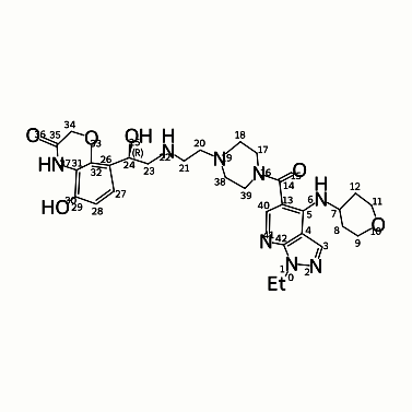 CCn1ncc2c(NC3CCOCC3)c(C(=O)N3CCN(CCNC[C@H](O)c4ccc(O)c5c4OCC(=O)N5)CC3)cnc21